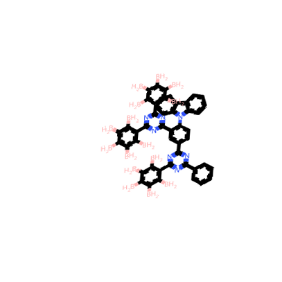 Bc1c(B)c(B)c(-c2nc(-c3ccccc3)nc(-c3ccc(-n4c5ccccc5c5ccccc54)c(-c4nc(-c5c(B)c(B)c(B)c(B)c5B)nc(-c5c(B)c(B)c(B)c(B)c5B)n4)c3)n2)c(B)c1B